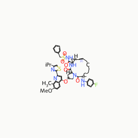 COc1ccc2c(O[C@@H]3C[C@H]4C(=O)N[C@]5(C(=O)NS(=O)(=O)Cc6ccccc6)C[C@H]5/C=C\CCCCC[C@H](Nc5ccc(F)cc5)C(=O)N4C3)cc(-c3nc(C(C)C)cs3)nc2c1C